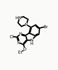 CCOc1nc(Cl)nc2c1[nH]c1cc(Br)cc(N3CCNCC3)c12